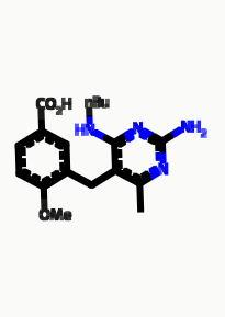 CCCCNc1nc(N)nc(C)c1Cc1cc(C(=O)O)ccc1OC